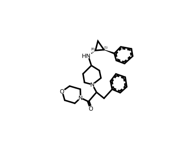 O=C(C(Cc1ccccc1)N1CCC(N[C@@H]2C[C@H]2c2ccccc2)CC1)N1CCOCC1